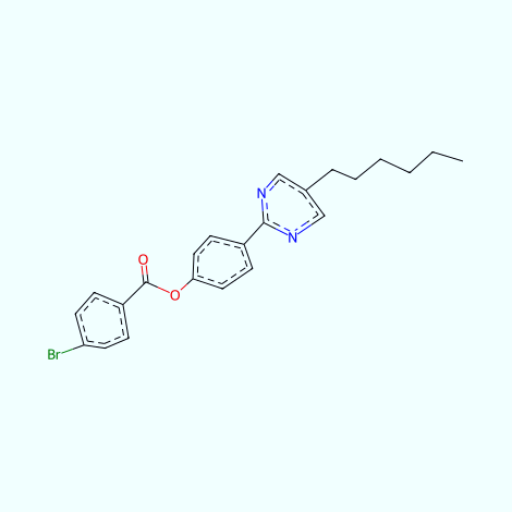 CCCCCCc1cnc(-c2ccc(OC(=O)c3ccc(Br)cc3)cc2)nc1